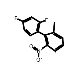 Cc1cc[c]c([N+](=O)[O-])c1-c1ccc(F)cc1F